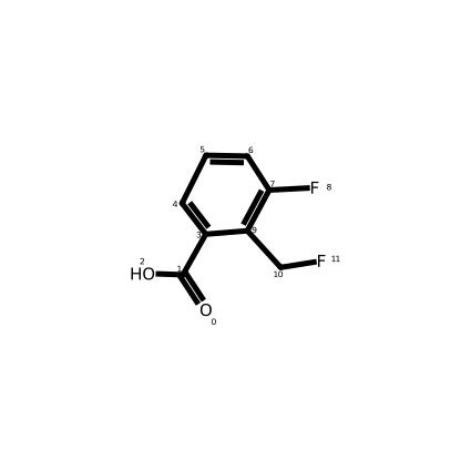 O=C(O)c1cccc(F)c1CF